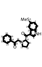 CSc1ccc2[nH]cc(C(=O)[C@H]3CCCN3CC(=O)c3ccccc3)c2c1